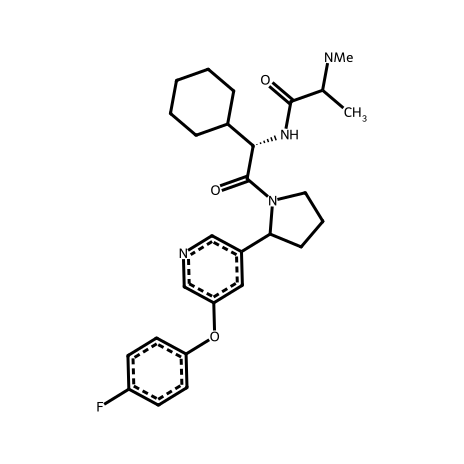 CNC(C)C(=O)N[C@H](C(=O)N1CCCC1c1cncc(Oc2ccc(F)cc2)c1)C1CCCCC1